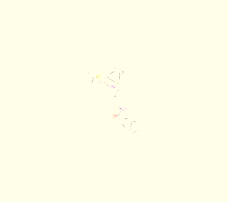 Cc1ccc(-c2cn(CCCCNC(=O)c3ccc(C(C)C)cc3)c3cc(C(=O)O)ccc23)s1